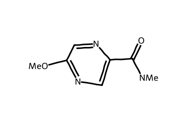 CNC(=O)c1cnc(OC)cn1